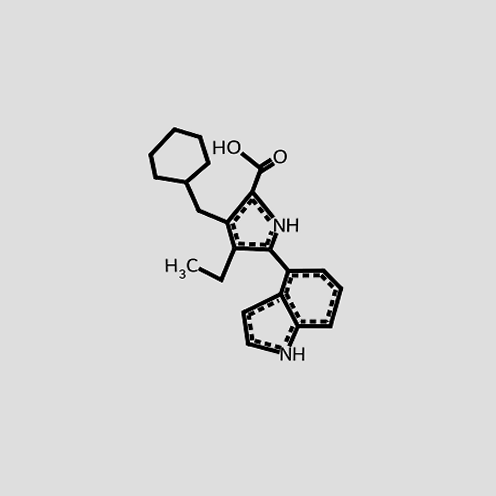 CCc1c(-c2cccc3[nH]ccc23)[nH]c(C(=O)O)c1CC1CCCCC1